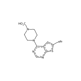 CCCc1cc2c(N3CCN(C(=O)O)CC3)ncnc2s1